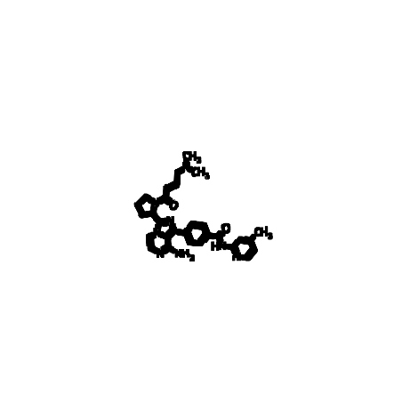 Cc1ccnc(NC(=O)c2ccc(-c3nc(C4CCCN4C(=O)C=CCN(C)C)n4ccnc(N)c34)cc2)c1